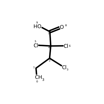 CCC(Cl)C(Cl)(Cl)C(=O)O